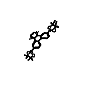 CC1(C)OB(c2ccc3c4ccc(B5OC(C)(C)C(C)(C)O5)cc4c4nccnc4c3c2)OC1(C)C